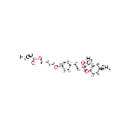 C=CC(=O)OCCCCOc1ccc(/C=C/C(=O)Oc2ccc(C)cc2C)cc1